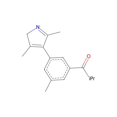 CC1=NCC(C)=C1c1cc(C)cc(C(=O)C(C)C)c1